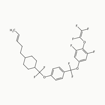 C/C=C/CCC1CCC(C(F)(F)Oc2ccc(C(F)(F)Oc3cc(F)c(OC(F)=C(F)F)c(F)c3)cc2)CC1